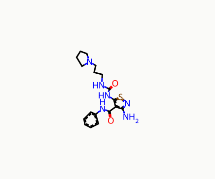 Nc1nsc(NC(=O)NCCCN2CCCC2)c1C(=O)Nc1ccccc1